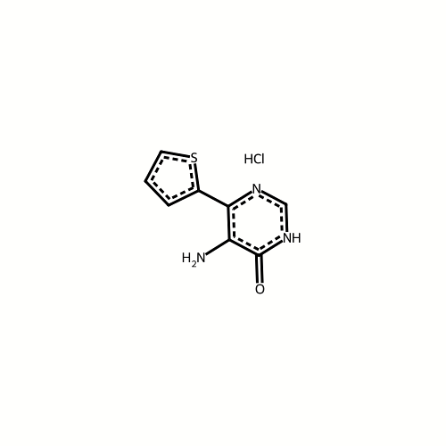 Cl.Nc1c(-c2cccs2)nc[nH]c1=O